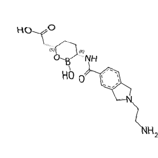 NCCN1Cc2ccc(C(=O)N[C@H]3CC[C@@H](CC(=O)O)OB3O)cc2C1